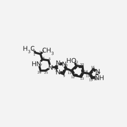 CCC(C)C1CN(c2ncc(-c3ccc(-c4cn[nH]c4)cc3O)nn2)CCN1